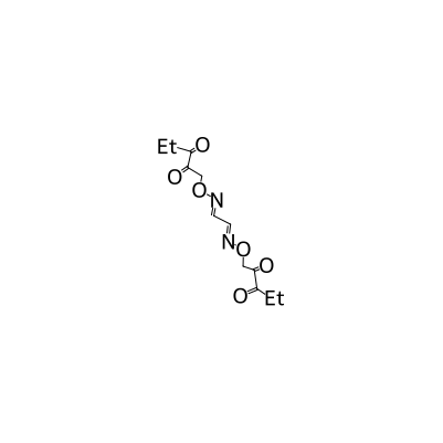 CCC(=O)C(=O)CO/N=C/C=N/OCC(=O)C(=O)CC